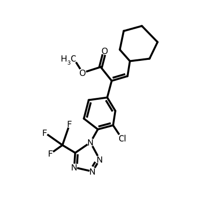 COC(=O)C(=CC1CCCCC1)c1ccc(-n2nnnc2C(F)(F)F)c(Cl)c1